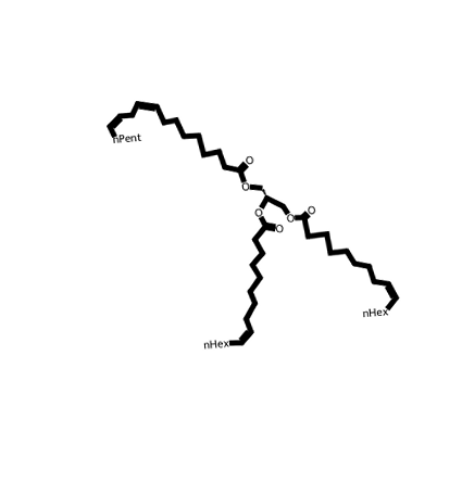 CCCCC/C=C\C/C=C\CCCCCCCC(=O)OC[C@H](COC(=O)CCCCCCC/C=C\CCCCCC)OC(=O)CCCCCCC/C=C\CCCCCC